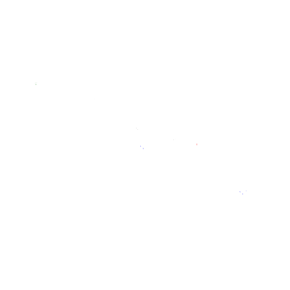 O=C(CCc1ccc(Br)cc1)NC(Cc1ccc([N+](=O)[O-])cc1)C(=O)O